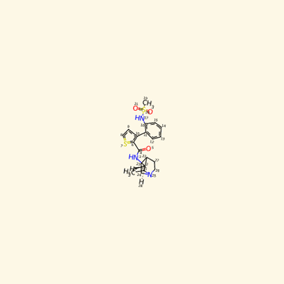 C[C@H]1[C@H](NC(=O)c2sccc2-c2ccccc2NS(C)(=O)=O)C2CCN1CC2